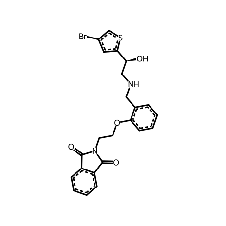 O=C1c2ccccc2C(=O)N1CCOc1ccccc1CNC[C@H](O)c1cc(Br)cs1